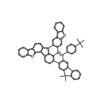 CC(C)(C)c1ccc(Nc2cc3c(cc2-c2ccc4c5c6oc7ccccc7c6ccc5n5c4c2Bc2cc4sc6ccccc6c4cc2-5)C(C)(C)c2ccccc2-3)cc1